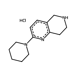 Cl.c1cc2c(nc1N1CCCCC1)CCNC2